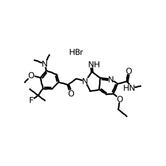 Br.CCOc1cc2c(nc1C(=O)NC)C(=N)N(CC(=O)c1cc(N(C)C)c(OC)c(C(C)(C)F)c1)C2